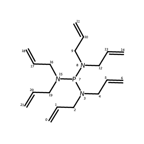 C=CCN(CC=C)P(N(CC=C)CC=C)N(CC=C)CC=C